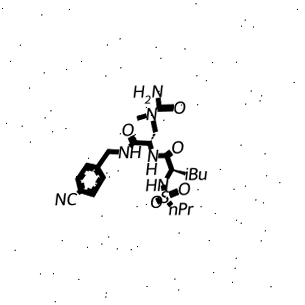 CCCS(=O)(=O)N[C@@H](C(=O)N[C@@H](CN(C)C(N)=O)C(=O)NCc1ccc(C#N)cc1)C(C)CC